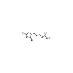 CCCC(=O)OCCCC1CC(=O)OC1=O